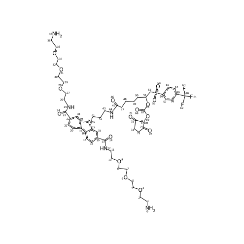 NCCOCCOCCOCCNC(=O)c1ccc2c3ccc(C(=O)NCCOCCOCCOCCN)cc3n(CCCNC(=O)CCCCC(CS(=O)(=O)c3ccc(C(F)(F)F)cc3)OC(=O)ON3C(=O)CCC3=O)c2c1